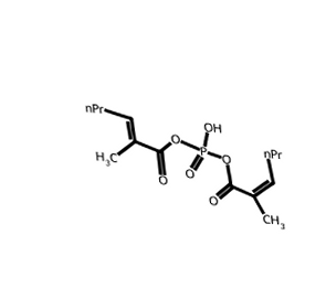 CCCC=C(C)C(=O)OP(=O)(O)OC(=O)C(C)=CCCC